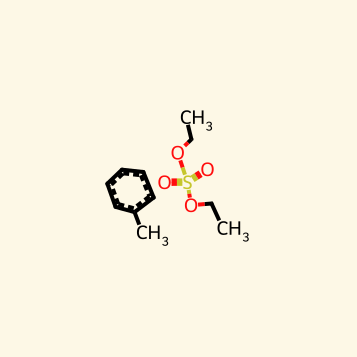 CCOS(=O)(=O)OCC.Cc1ccccc1